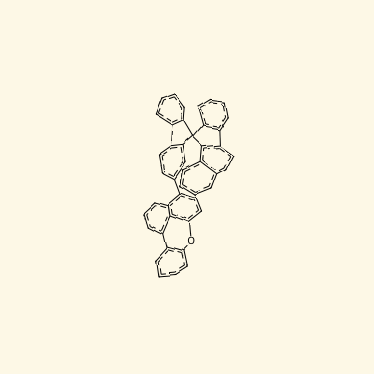 c1ccc2c(c1)Oc1ccc(-c3ccc4c(c3)C3(c5ccccc5-4)c4ccccc4-c4ccc5ccccc5c43)c3cccc-2c13